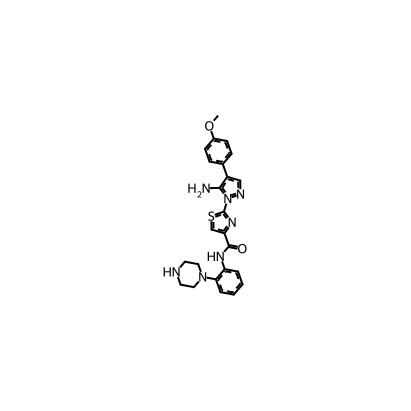 COc1ccc(-c2cnn(-c3nc(C(=O)Nc4ccccc4N4CCNCC4)cs3)c2N)cc1